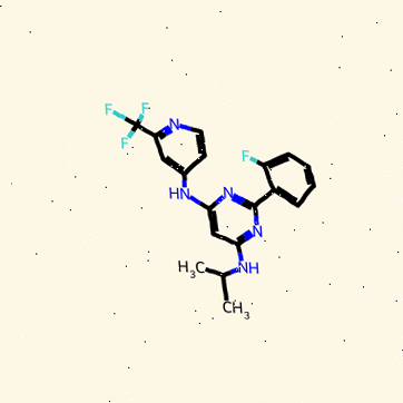 CC(C)Nc1cc(Nc2ccnc(C(F)(F)F)c2)nc(-c2ccccc2F)n1